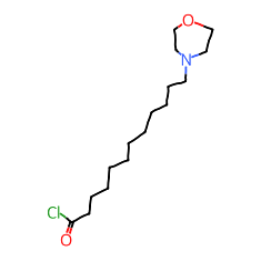 O=C(Cl)CCCCCCCCCCCN1CCOCC1